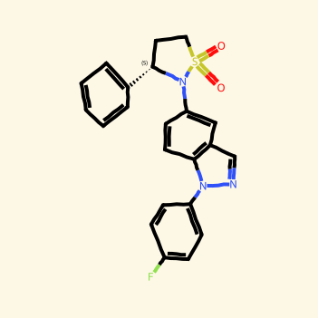 O=S1(=O)CC[C@@H](c2ccccc2)N1c1ccc2c(cnn2-c2ccc(F)cc2)c1